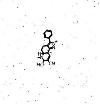 CN1C(O)C(C#N)=C[C@]2(C)c3nn(C)c(-c4ccccc4)c3CC[C@@H]12